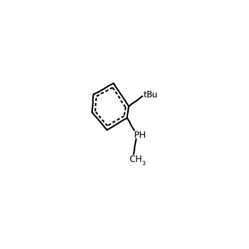 CPc1ccccc1C(C)(C)C